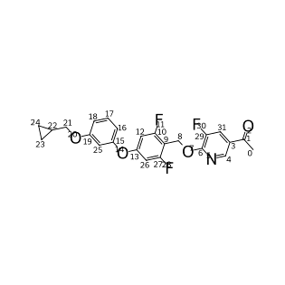 CC(=O)c1cnc(OCc2c(F)cc(Oc3cccc(OCC4CC4)c3)cc2F)c(F)c1